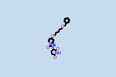 O=C1CCC(n2nc3cc(OCCCCCOCc4ccccc4)ccn3c2=O)C(=O)N1